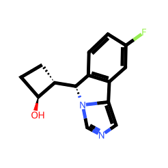 O[C@H]1CC[C@@H]1[C@@H]1c2ccc(F)cc2-c2cncn21